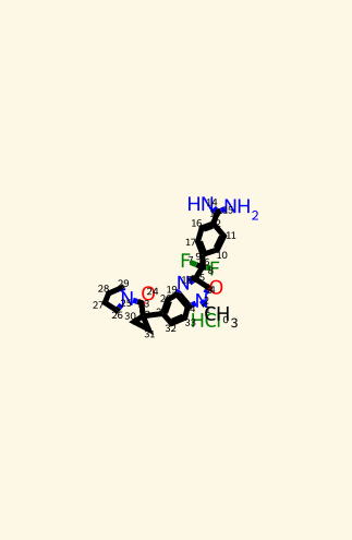 Cl.Cn1c(=O)c(C(F)(F)c2ccc(C(=N)N)cc2)nc2cc(C3(C(=O)N4CCCC4)CC3)ccc21